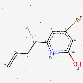 C=CC[C@H](C)c1cc(Br)cc(O)n1